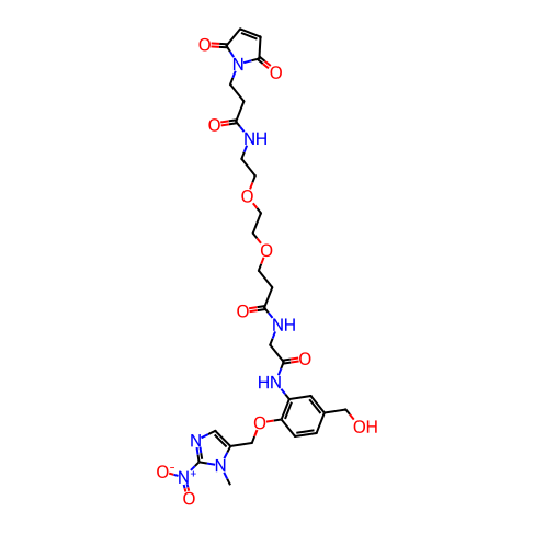 Cn1c(COc2ccc(CO)cc2NC(=O)CNC(=O)CCOCCOCCNC(=O)CCN2C(=O)C=CC2=O)cnc1[N+](=O)[O-]